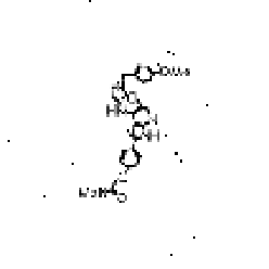 CNC(=O)COc1ccc(-c2nc3c(N[C@H]4CCN(Cc5ccc(OC)cc5)C4)c(Cl)cnc3[nH]2)cc1